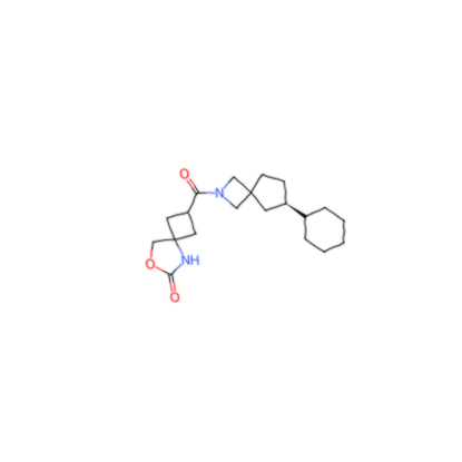 O=C1NC2(CO1)CC(C(=O)N1CC3(CC[C@@H](C4CCCCC4)C3)C1)C2